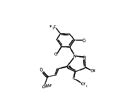 COC(=O)/C=C/c1c(SC(F)(F)F)c(C#N)nn1-c1c(Cl)cc(C(F)(F)F)cc1Cl